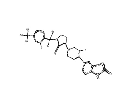 [2H]C([2H])([2H])c1ccc(C([2H])([2H])N2CCC(N3CCC(c4ccc5[nH]c(=O)oc5c4)C(F)C3)C2=O)c(F)c1